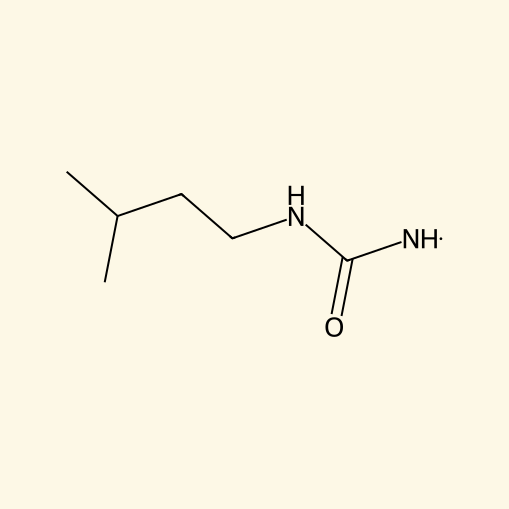 CC(C)CCNC([NH])=O